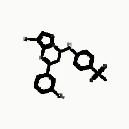 CS(=O)(=O)c1ccc(NC2CC(c3cccc(C(F)(F)F)c3)=Nc3c(Br)cnn32)cc1